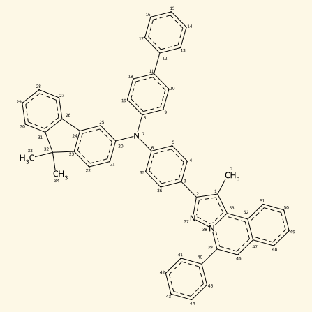 Cc1c(-c2ccc(N(c3ccc(-c4ccccc4)cc3)c3ccc4c(c3)-c3ccccc3C4(C)C)cc2)nn2c(-c3ccccc3)cc3ccccc3c12